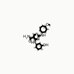 CO[C@@H]1CCC[C@@H](Nc2ncc(C(N)=O)c(N[C@@H]3CCCC(O)C3)n2)CC1